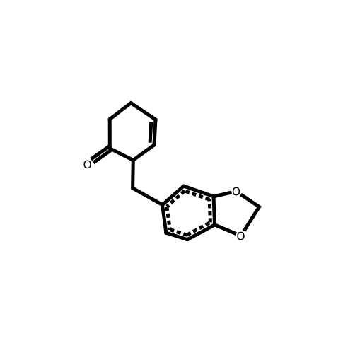 O=C1CCC=CC1Cc1ccc2c(c1)OCO2